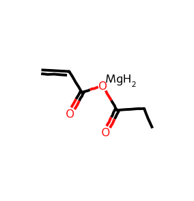 C=CC(=O)OC(=O)CC.[MgH2]